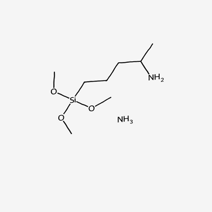 CO[Si](CCCC(C)N)(OC)OC.N